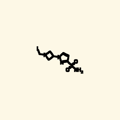 NS(=O)(=O)c1ccn(C2CN(CI)C2)n1